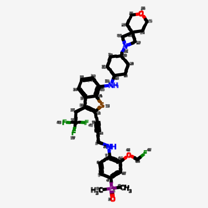 CP(C)(=O)c1ccc(NCC#Cc2sc3c(NC4CCC(N5CC6(CCOCC6)C5)CC4)cccc3c2CC(F)(F)F)c(OCF)c1